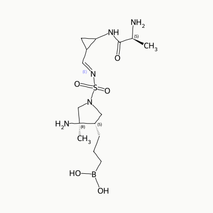 C[C@H](N)C(=O)NC1CC1/C=N/S(=O)(=O)N1C[C@H](CCCB(O)O)[C@@](C)(N)C1